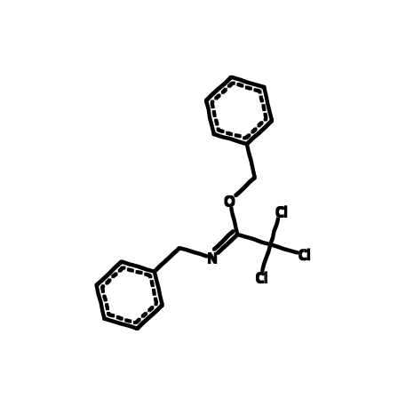 ClC(Cl)(Cl)C(=NCc1ccccc1)OCc1ccccc1